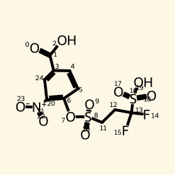 O=C(O)c1ccc(OS(=O)(=O)CCC(F)(F)S(=O)(=O)O)c([N+](=O)[O-])c1